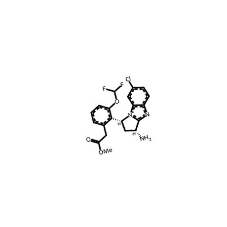 COC(=O)Cc1cccc(OC(F)F)c1[C@H]1C[C@@H](N)c2nc3ccc(Cl)cc3n21